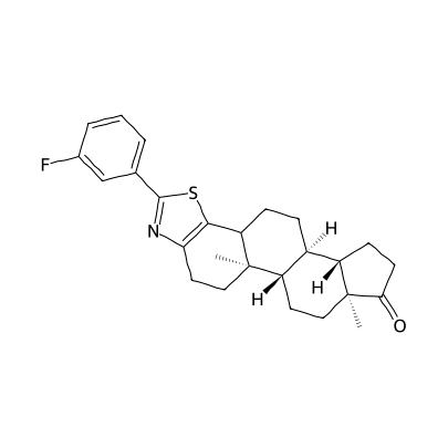 C[C@]12CCc3nc(-c4cccc(F)c4)sc3C1CC[C@@H]1[C@@H]2CC[C@]2(C)C(=O)CC[C@@H]12